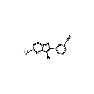 N#Cc1cccc(-c2nn3ccc(N)nc3c2Br)c1